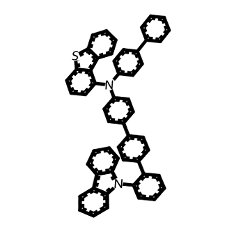 c1ccc(-c2ccc(N(c3ccc(-c4ccc(-c5ccccc5-n5c6ccccc6c6ccccc65)cc4)cc3)c3cccc4sc5ccccc5c34)cc2)cc1